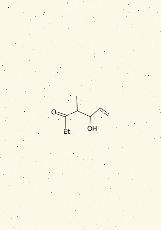 C=CC(O)C(C)C(=O)CC